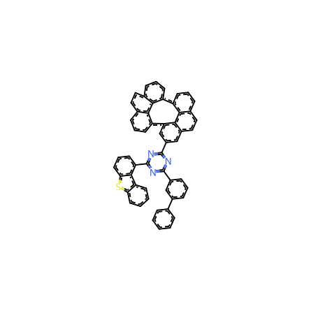 c1ccc(-c2cccc(-c3nc(-c4cc5ccc6cccc7c8cccc9ccc%10cccc(c(c4)c5c67)c%10c98)nc(-c4cccc5sc6ccccc6c45)n3)c2)cc1